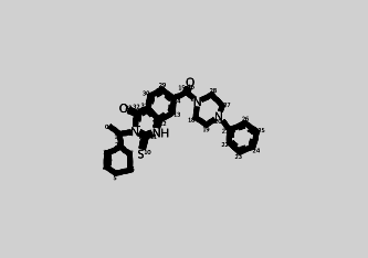 CC(C1C=CCCC1)n1c(=S)[nH]c2cc(C(=O)N3CCN(c4ccccc4)CC3)ccc2c1=O